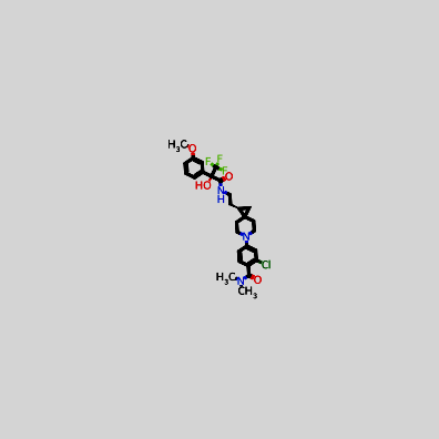 COc1cccc([C@@](O)(C(=O)NCC[C@H]2CC23CCN(c2ccc(C(=O)N(C)C)c(Cl)c2)CC3)C(F)(F)F)c1